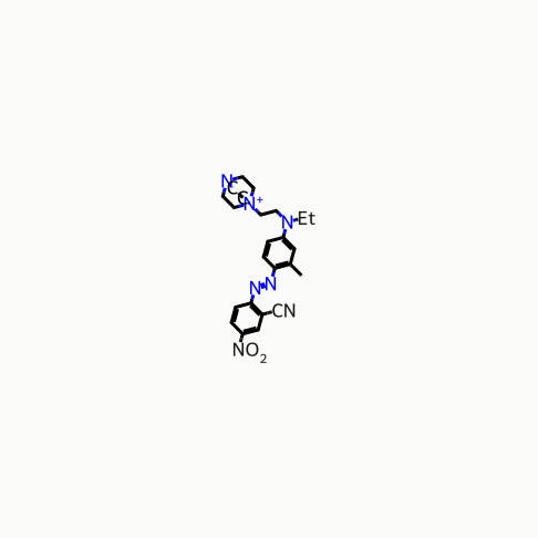 CCN(CC[N+]12CCN(CC1)CC2)c1ccc(N=Nc2ccc([N+](=O)[O-])cc2C#N)c(C)c1